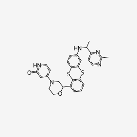 Cc1nccc(C(C)Nc2ccc3c(c2)Sc2cccc(C4CN(c5cc[nH]c(=O)c5)CCO4)c2S3)n1